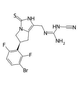 N#CN/C(N)=N\Cc1[nH]c(=S)n2c1C[C@@H](c1c(F)ccc(Br)c1F)C2